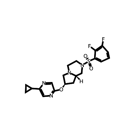 O=S(=O)(c1cccc(F)c1F)N1CCN2C[C@H](Oc3cnc(C4CC4)cn3)C[C@H]2C1